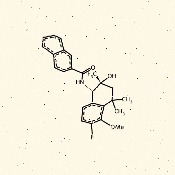 COc1c(F)ccc2c1C(C)(C)C[C@](O)(C(F)(F)F)[C@H]2NC(=O)c1ccc2ccccc2c1